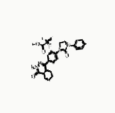 O=C(O)C(F)(F)F.O=C1N(c2ccccc2)CCN1c1ccc(-c2n[nH]c(=O)c3ccccc23)cc1